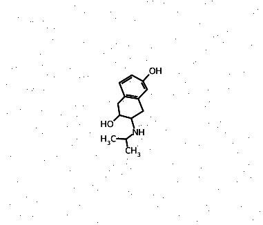 CC(C)NC1Cc2cc(O)ccc2CC1O